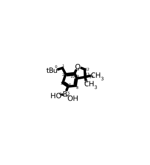 CC(C)(C)Cc1cc(B(O)O)cc2c1OCC2(C)C